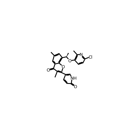 Cc1cc([C@@H](C)Oc2ccc(Cl)nc2C)c2oc(-c3ccc(=O)[nH]c3)c(C)c(=O)c2c1